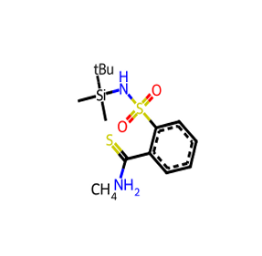 C.CC(C)(C)[Si](C)(C)NS(=O)(=O)c1ccccc1C(N)=S